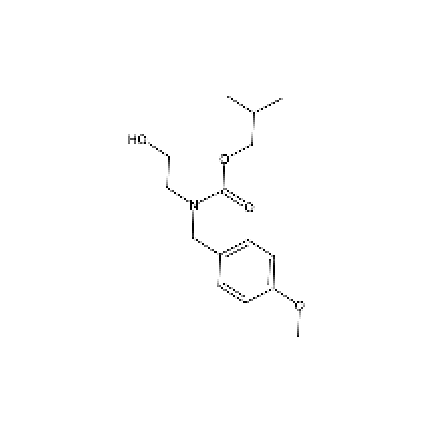 COc1ccc(CN(CCO)C(=O)OCC(C)C)cc1